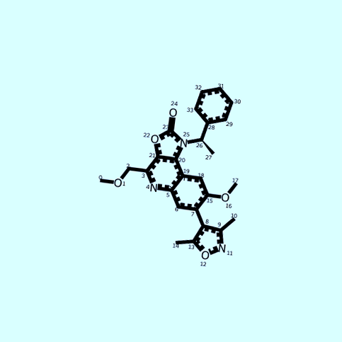 COCc1nc2cc(-c3c(C)noc3C)c(OC)cc2c2c1oc(=O)n2[C@H](C)c1ccccc1